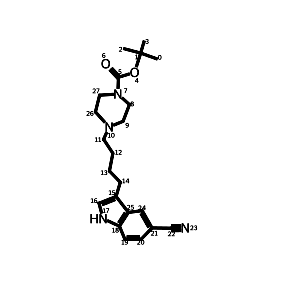 CC(C)(C)OC(=O)N1CCN(CCCCc2c[nH]c3ccc(C#N)cc23)CC1